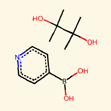 CC(C)(O)C(C)(C)O.OB(O)c1ccncc1